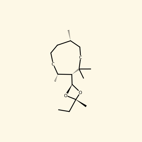 CC[C@]1(C)O[C@@H]([C@@H]2[C@H](C)CCC[C@H](C)CCC2(C)C)O1